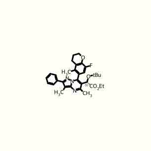 CCOC(=O)[C@@H](OC(C)(C)C)c1c(C)nc2c(C)c(-c3ccccc3)nn2c1-c1cc(F)c2c(c1C)CCCO2